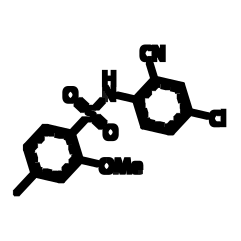 COc1cc(C)ccc1S(=O)(=O)Nc1ccc(Cl)cc1C#N